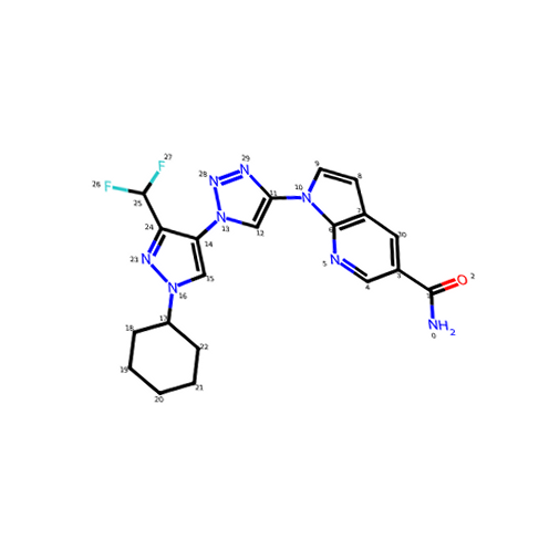 NC(=O)c1cnc2c(ccn2-c2cn(-c3cn(C4CCCCC4)nc3C(F)F)nn2)c1